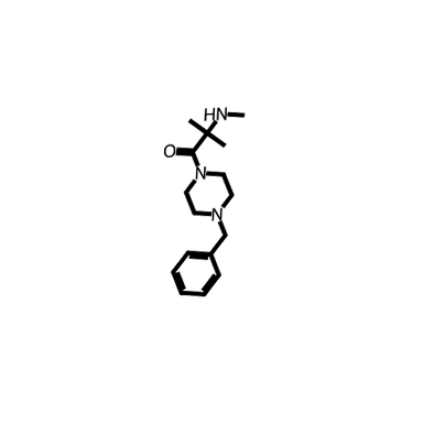 CNC(C)(C)C(=O)N1CCN(Cc2ccccc2)CC1